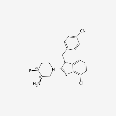 N#Cc1ccc(Cn2c(N3CC[C@H](F)[C@H](N)C3)nc3c(Cl)cccc32)cc1